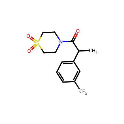 CC(C(=O)N1CCS(=O)(=O)CC1)c1cccc(C(F)(F)F)c1